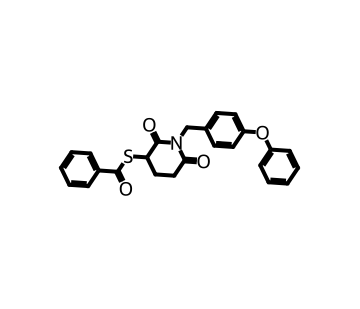 O=C(SC1CCC(=O)N(Cc2ccc(Oc3ccccc3)cc2)C1=O)c1ccccc1